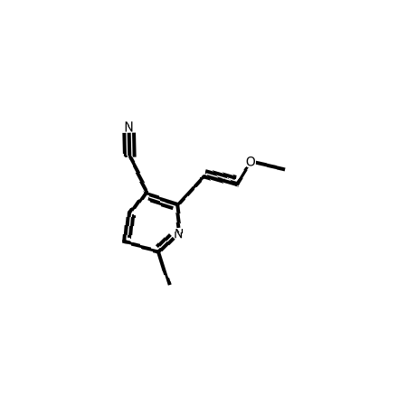 COC=Cc1nc(C)ccc1C#N